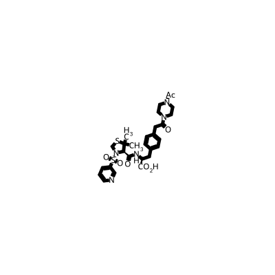 CC(=O)N1CCN(C(=O)Cc2ccc(C[C@H](NC(=O)[C@H]3N(S(=O)(=O)c4cccnc4)CSC3(C)C)C(=O)O)cc2)CC1